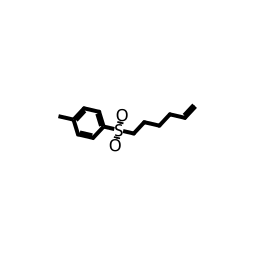 C=CCCCCS(=O)(=O)c1ccc(C)cc1